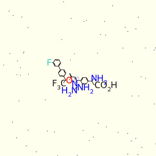 C=C(/C=C(\N=C(N)N)c1ccc(C(N)CC(=O)O)cc1)OC(c1ccc(-c2cccc(F)c2)cc1)C(F)(F)F